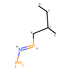 CCC(C)CP=NP